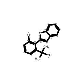 CC(C)(O)c1cccc(Cl)c1-c1cc2ccccc2o1